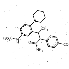 CCOC(=O)Nc1ccc(N2CCCCC2)c(C(C)C(C(N)=O)c2ccc(C(=O)O)cc2)c1